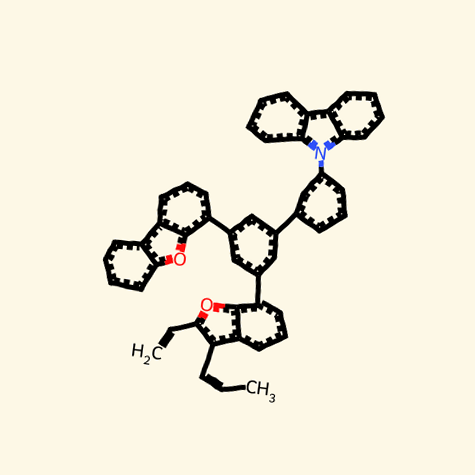 C=Cc1oc2c(-c3cc(-c4cccc(-n5c6ccccc6c6ccccc65)c4)cc(-c4cccc5c4oc4ccccc45)c3)cccc2c1/C=C\C